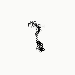 CC(CO)(CS(=O)(=O)c1ccc(OCCCCCCN2CCN(C(=O)c3cc(Cc4n[nH]c(=O)c5ccccc45)ccc3F)CC2)cc1)C(=O)Nc1ccc(C#N)c(C(F)(F)F)c1